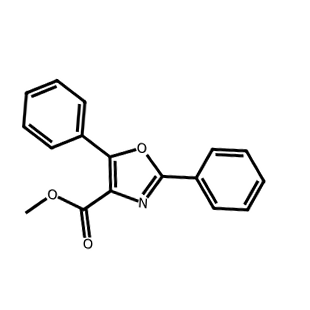 COC(=O)c1nc(-c2ccccc2)oc1-c1ccccc1